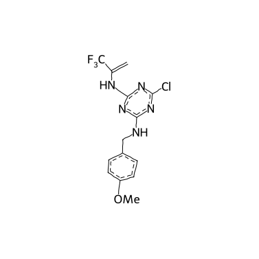 C=C(Nc1nc(Cl)nc(NCc2ccc(OC)cc2)n1)C(F)(F)F